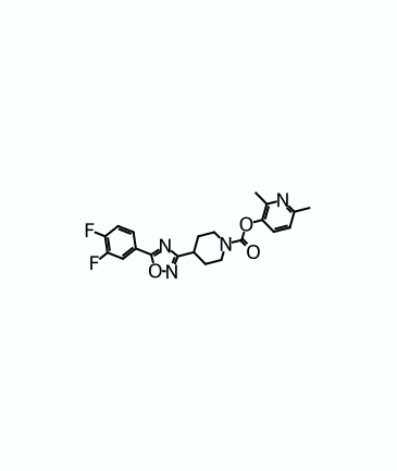 Cc1ccc(OC(=O)N2CCC(c3noc(-c4ccc(F)c(F)c4)n3)CC2)c(C)n1